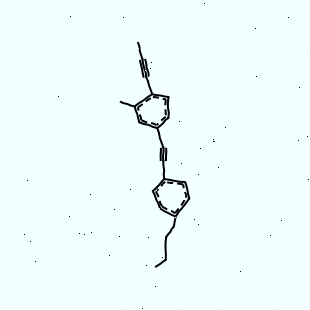 CC#Cc1ccc(C#Cc2ccc(CCCC)cc2)cc1C